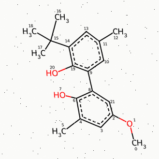 COc1cc(C)c(O)c(-c2cc(C)cc(C(C)(C)C)c2O)c1